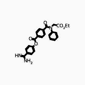 CCOC(=O)CN(C(=O)c1ccc(C(=O)Oc2ccc(C(=N)N)cc2)cc1)c1ccccc1